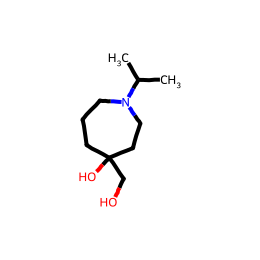 CC(C)N1CCCC(O)(CO)CC1